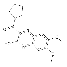 COc1cc2nc(O)c(C(=O)N3CCCC3)nc2cc1OC